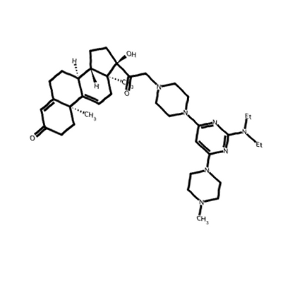 CCN(CC)c1nc(N2CCN(C)CC2)cc(N2CCN(CC(=O)[C@@]3(O)CC[C@H]4[C@@H]5CCC6=CC(=O)CC[C@]6(C)C5=CC[C@@]43C)CC2)n1